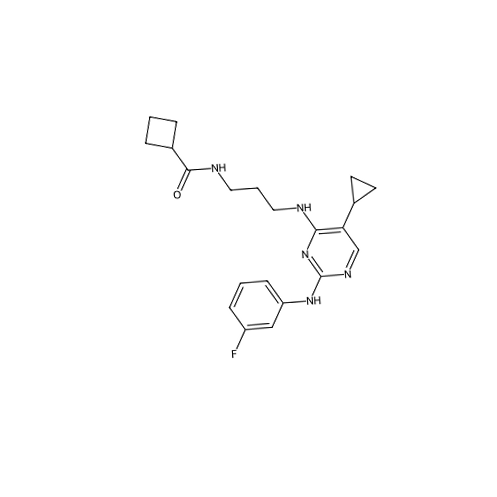 O=C(NCCCNc1nc(Nc2cccc(F)c2)ncc1C1CC1)C1CCC1